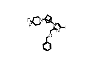 FC1(F)CCN(C23CC(C2)C(n2cc(I)nc2COCc2ccccc2)C3)CC1